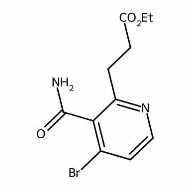 CCOC(=O)CCc1nccc(Br)c1C(N)=O